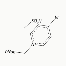 CCCCCCCCCC[n+]1ccc(CC)cc1.CS(=O)(=O)O